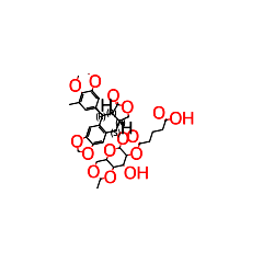 COc1cc([C@@H]2c3cc4c(cc3[C@@H](OC3OC5COC(C)OC5C(O)C3OC(=O)CCCC(=O)O)[C@H]3COC(=O)[C@H]23)OCO4)cc(C)c1OC